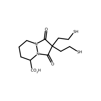 O=C(O)C1CCCN2C(=O)C(CCS)(CCS)C(=O)N12